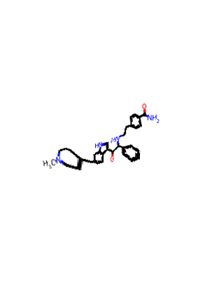 CN1CCC(c2ccc3c(C(=O)C(NCCc4ccc(C(N)=O)cc4)c4ccccc4)c[nH]c3c2)CC1